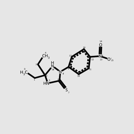 CCC1(CC)NC(=S)N(c2ccc([N+](=O)[O-])cc2)N1